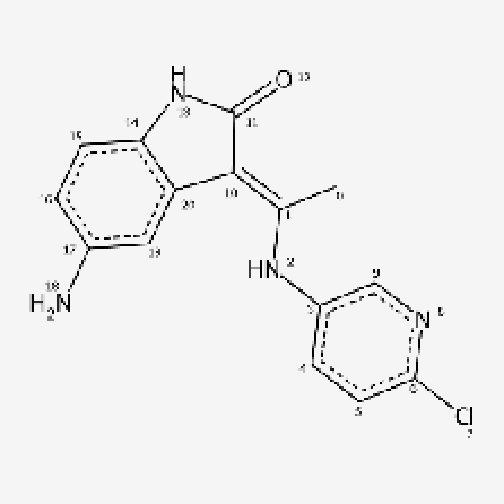 CC(Nc1ccc(Cl)nc1)=C1C(=O)Nc2ccc(N)cc21